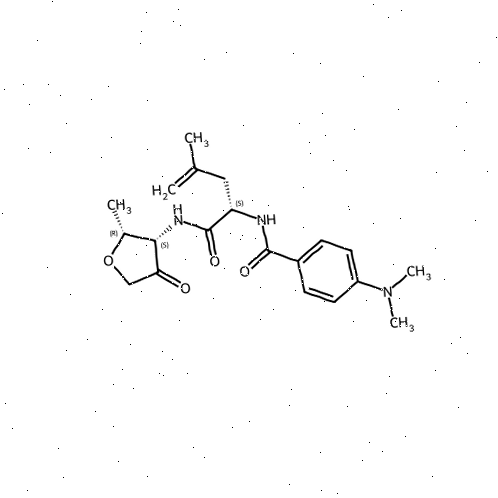 C=C(C)C[C@H](NC(=O)c1ccc(N(C)C)cc1)C(=O)N[C@@H]1C(=O)CO[C@@H]1C